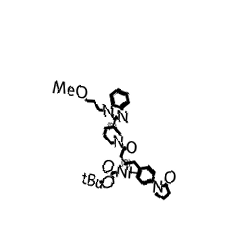 COCCCn1c([C@@H]2CCCN(C(=O)C[C@@H](Cc3ccc(N4CCCC4=O)cc3)NC(=O)OC(C)(C)C)C2)nc2ccccc21